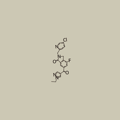 CCn1cc(C(=O)c2cc(F)c3c(c2)C(=O)N(Cc2ccc(Cl)cn2)C3)cn1